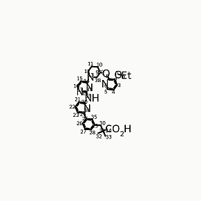 CCOc1cccnc1O[C@@H]1CCCN(c2ccnc(Nc3cccc(-c4cccc(CC(C)(C)C(=O)O)c4)n3)n2)C1